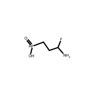 NC(F)CC[PH](=O)O